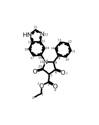 CCOC(=O)C1C(=O)C(c2ccccc2)N(c2ccc3[nH]cnc3c2)C1=O